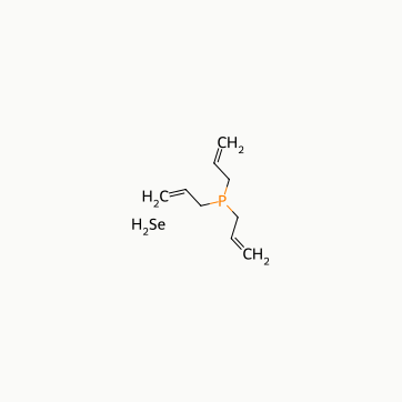 C=CCP(CC=C)CC=C.[SeH2]